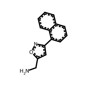 NCc1cc(-c2cccc3ccccc23)no1